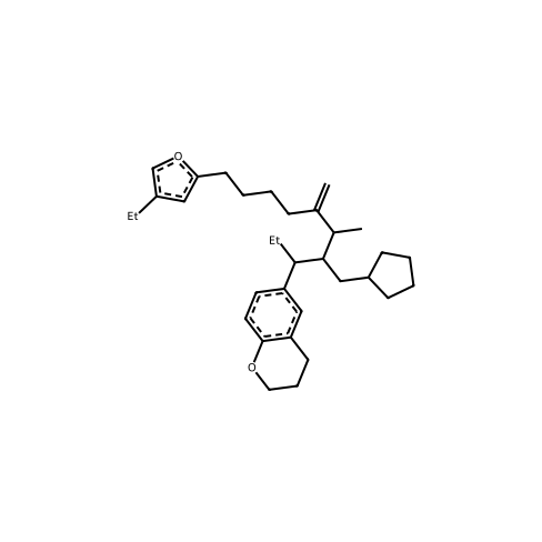 C=C(CCCCc1cc(CC)co1)C(C)C(CC1CCCC1)C(CC)c1ccc2c(c1)CCCO2